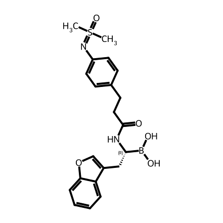 CS(C)(=O)=Nc1ccc(CCC(=O)N[C@@H](Cc2coc3ccccc23)B(O)O)cc1